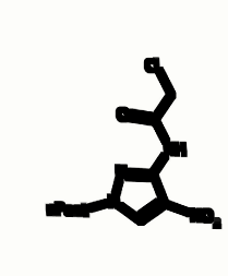 CCCCCn1cc([N+](=O)[O-])c(NC(=O)CCl)n1